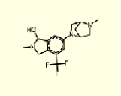 CN1CC2CC1CN2c1cc2c(c(C(F)(F)F)c1)CN(C)C2O